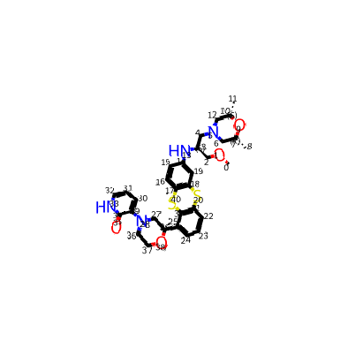 COC[C@H](CN1C[C@@H](C)O[C@@H](C)C1)Nc1ccc2c(c1)Sc1cccc(C3CN(c4ccc[nH]c4=O)CCO3)c1S2